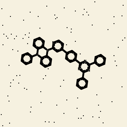 c1ccc(-c2nc(-c3ccccc3)nc(-c3ccc(-c4ccnc(N5c6ccccc6N(c6ccccc6)c6ccccc65)c4)cc3)n2)cc1